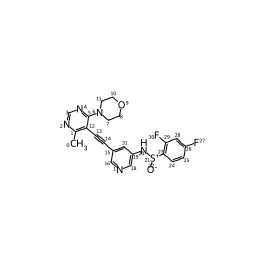 Cc1ncnc(N2CCOCC2)c1C#Cc1cncc(N[S+]([O-])c2ccc(F)cc2F)c1